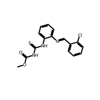 COC(=O)NC(=S)Nc1ccccc1/N=C/c1ccccc1Cl